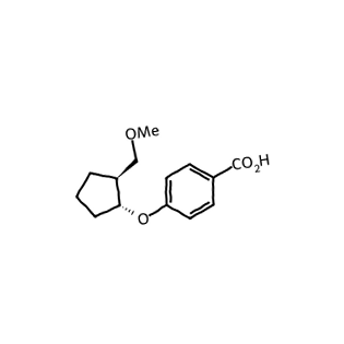 COC[C@@H]1CCC[C@H]1Oc1ccc(C(=O)O)cc1